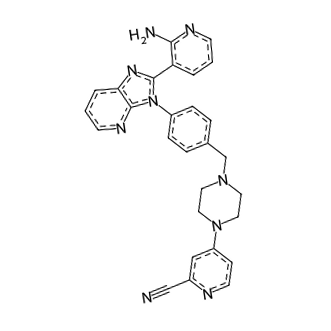 N#Cc1cc(N2CCN(Cc3ccc(-n4c(-c5cccnc5N)nc5cccnc54)cc3)CC2)ccn1